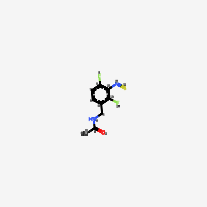 CC(C)(C)C(=O)NCc1ccc(F)c(N=S)c1F